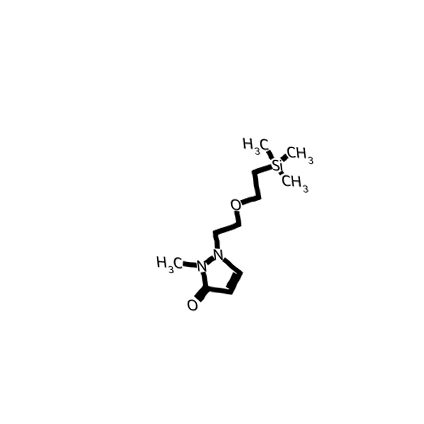 Cn1c(=O)ccn1CCOCC[Si](C)(C)C